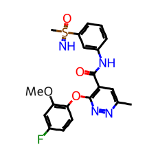 COc1cc(F)ccc1Oc1nnc(C)cc1C(=O)Nc1cccc(S(C)(=N)=O)c1